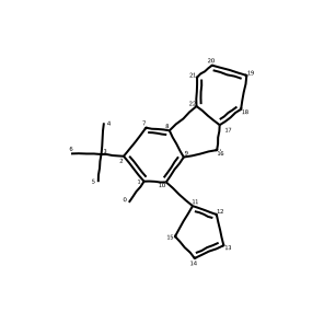 Cc1c(C(C)(C)C)cc2c(c1C1=CC=CC1)[CH]c1ccccc1-2